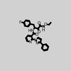 CCONC(=O)C(=O)C(Cc1ccc(F)cc1)NC(=O)c1cccnc1-n1ccc(-c2ccccc2)n1